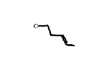 C/C=C/CCCl